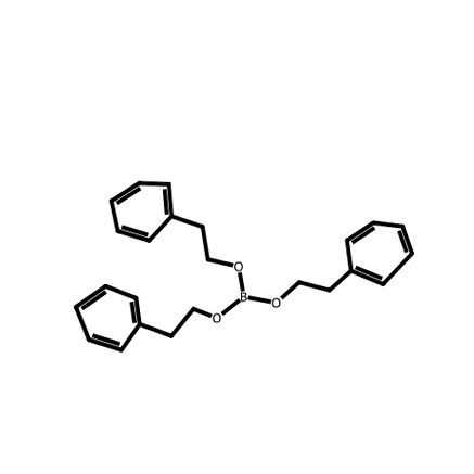 c1ccc(CCOB(OCCc2ccccc2)OCCc2ccccc2)cc1